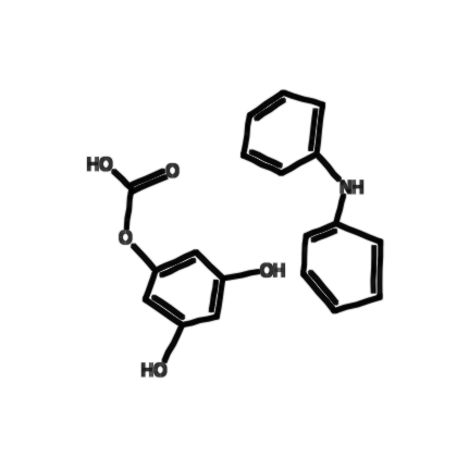 O=C(O)Oc1cc(O)cc(O)c1.c1ccc(Nc2ccccc2)cc1